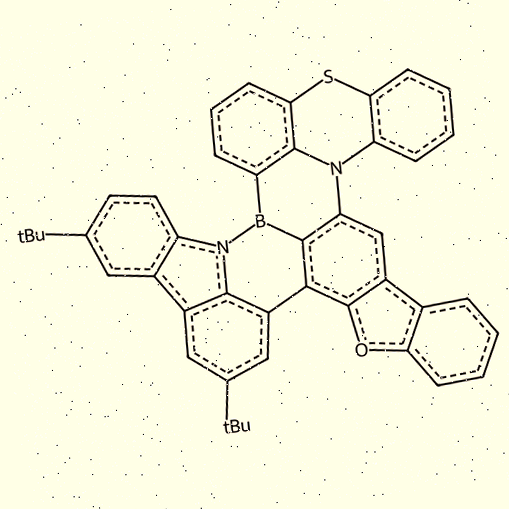 CC(C)(C)c1ccc2c(c1)c1cc(C(C)(C)C)cc3c1n2B1c2cccc4c2N(c2ccccc2S4)c2cc4c(oc5ccccc54)c-3c21